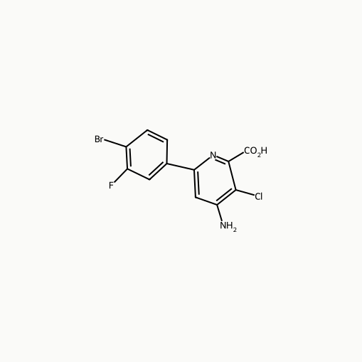 Nc1cc(-c2ccc(Br)c(F)c2)nc(C(=O)O)c1Cl